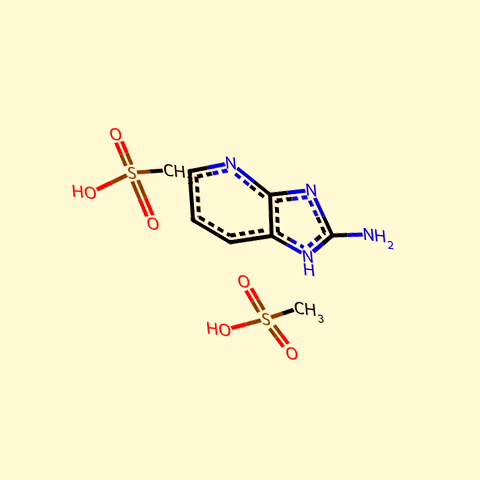 CS(=O)(=O)O.CS(=O)(=O)O.Nc1nc2ncccc2[nH]1